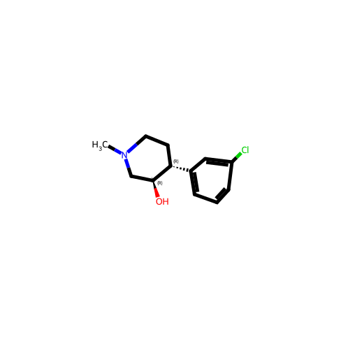 CN1CC[C@H](c2cccc(Cl)c2)[C@@H](O)C1